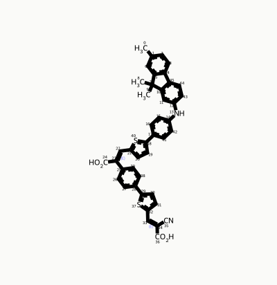 Cc1ccc2c(c1)C(C)(C)c1cc(Nc3ccc(-c4ccc(/C=C(/C(=O)O)c5ccc(-c6ccc(/C=C(\C#N)C(=O)O)s6)cc5)s4)cc3)ccc1-2